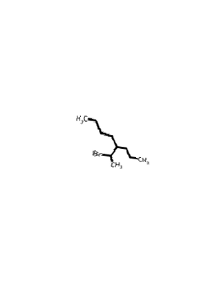 CCCCC(CCC)C(C)Br